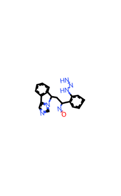 N=NNc1ccccc1C(CC1c2ccccc2-c2cncn21)N=O